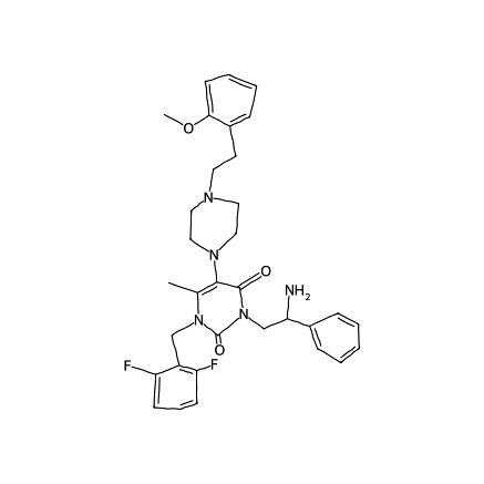 COc1ccccc1CCN1CCN(c2c(C)n(Cc3c(F)cccc3F)c(=O)n(CC(N)c3ccccc3)c2=O)CC1